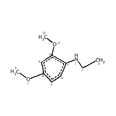 CCNc1ccc(OC)cc1OC